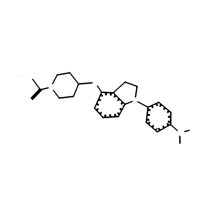 CC(C)COC(=O)N1CCC(Oc2cccc3c2CCN3c2ccc([S+](C)[O-])cc2)CC1